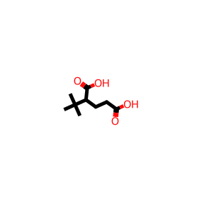 CC(C)(C)C(CCC(=O)O)C(=O)O